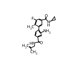 C=C(C)CNC(=O)c1ccc(-c2cc(C(=O)NC3CC3)cc(F)c2C)c(N)c1